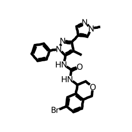 Cc1c(-c2cnn(C)c2)nn(-c2ccccc2)c1NC(=O)NC1COCc2ccc(Br)cc21